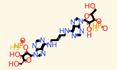 O=[PH](S)O[C@@H]1C(CO)OC(n2cnc3c(NC/C=C/CNc4ncnc5c4ncn5C4O[C@H](CO)[C@@H](O)[C@H]4O[PH](=O)S)ncnc32)[C@@H]1O